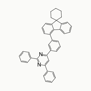 c1ccc(-c2cc(-c3cccc(-c4cccc5c4-c4ccccc4C54CCCCC4)c3)nc(-c3ccccc3)n2)cc1